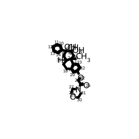 CCC12CC(C)(O)C(O)(c3ccccc3)C[C@H]1CCc1cc(OCC(=O)N3CCOCC3)ccc12